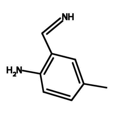 Cc1ccc(N)c(C=N)c1